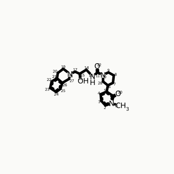 Cn1cccc(C2CCCN(C(=O)NCC(O)CN3CCc4ccccc4C3)C2)c1=O